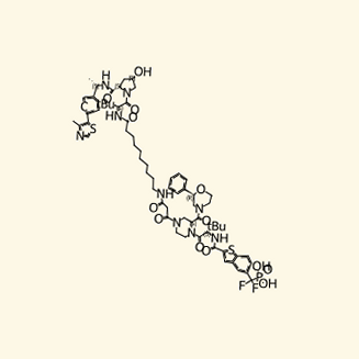 Cc1ncsc1-c1ccc([C@H](C)NC(=O)[C@@H]2C[C@@H](O)CN2C(=O)[C@@H](NC(=O)CCCCCCCCCNC(=O)CC(=O)N2CCN(C(=O)[C@@H](NC(=O)c3cc4cc(C(F)(F)P(=O)(O)O)ccc4s3)C(C)(C)C)[C@H](C(=O)N3CCO[C@H](c4ccccc4)C3)C2)C(C)(C)C)cc1